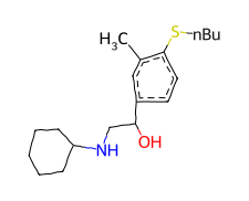 CCCCSc1ccc(C(O)CNC2CCCCC2)cc1C